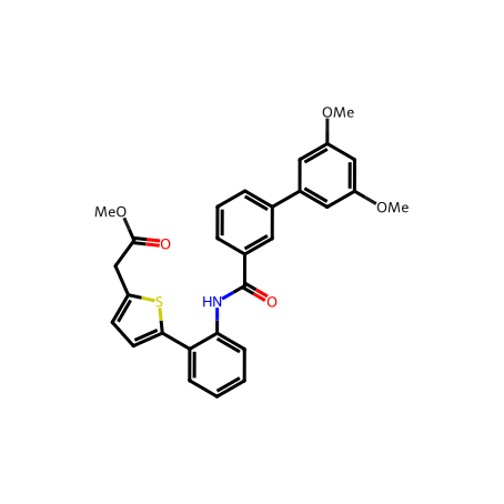 COC(=O)Cc1ccc(-c2ccccc2NC(=O)c2cccc(-c3cc(OC)cc(OC)c3)c2)s1